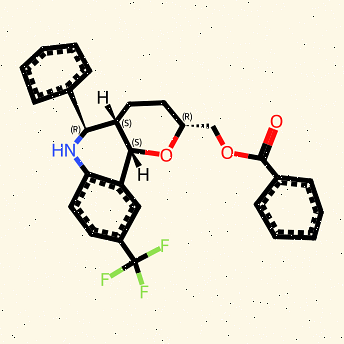 O=C(OC[C@H]1CC[C@@H]2[C@H](O1)c1cc(C(F)(F)F)ccc1N[C@H]2c1ccccc1)c1ccccc1